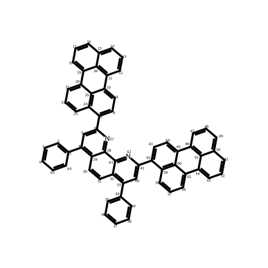 c1ccc(-c2cc(-c3ccc4c5cccc6cccc(c7cccc3c74)c65)nc3c2ccc2c(-c4ccccc4)cc(-c4ccc5c6cccc7cccc(c8cccc4c85)c76)nc23)cc1